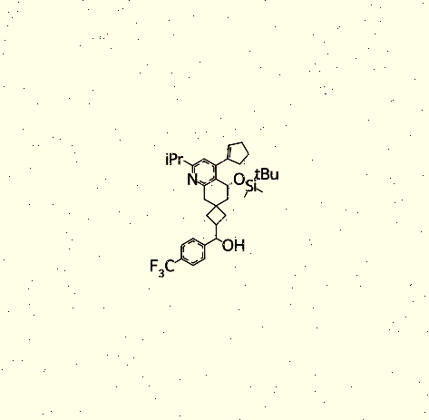 CC(C)c1cc(C2=CCCC2)c2c(n1)CC1(CC(C(O)c3ccc(C(F)(F)F)cc3)C1)C[C@H]2O[Si](C)(C)C(C)(C)C